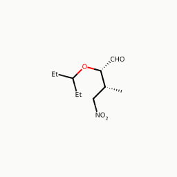 CCC(CC)O[C@H](C=O)[C@H](C)C[N+](=O)[O-]